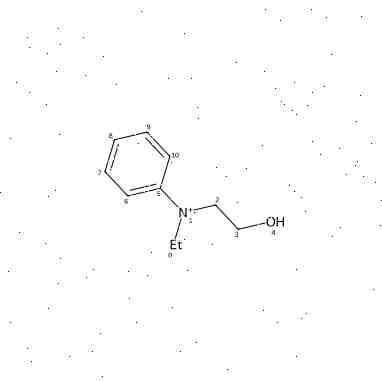 CC[N+](CCO)c1ccccc1